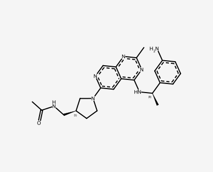 CC(=O)NC[C@@H]1CCN(c2cc3c(N[C@H](C)c4cccc(N)c4)nc(C)nc3cn2)C1